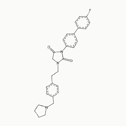 O=C1CN(CCc2ccc(CN3CCCC3)cc2)C(=O)N1c1ccc(-c2ccc(F)cc2)cc1